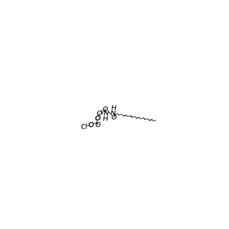 CCC=CCC=CCC=CCC=CCC=CCCCC(=O)NCCNC(=O)C(C)(C)Oc1ccc(C(=O)c2ccc(Cl)cc2)cc1